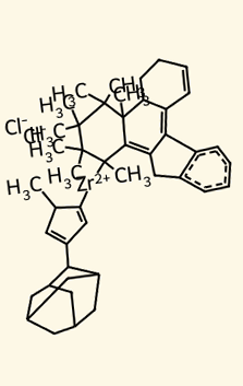 CC1C=C(C2C3CC4CC(C3)CC2C4)C=[C]1[Zr+2][C]1(C)C2=C3Cc4ccccc4C3=C3C=CCCC3C2(C)C(C)(C)C(C)(C)C1(C)C.[Cl-].[Cl-]